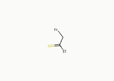 [CH2]CC(=S)[CH]CC